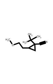 COCCC1CC1(C#N)C(C)(C)C